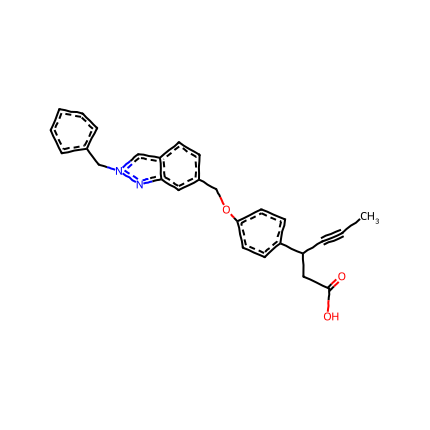 CC#CC(CC(=O)O)c1ccc(OCc2ccc3cn(Cc4ccccc4)nc3c2)cc1